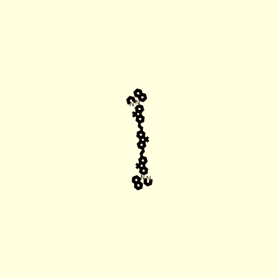 CC1(C)c2cc(/C=C/c3ccc4c(c3)C(C)(C)c3cc(N(c5ccccn5)c5cccc6ccccc56)ccc3-4)ccc2-c2ccc(/C=C/c3ccc4c(c3)C(C)(C)c3cc(N(c5ccccn5)c5cccc6ccccc56)ccc3-4)cc21